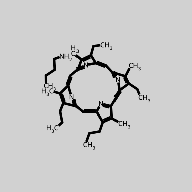 CCCC1=C(C)C2=NC1=CC1=NC(=CC3=NC(=CC4=NC(=C2)C(CC)=C4C)C(CC)=C3C)C(C)=C1CCC.CCCCN